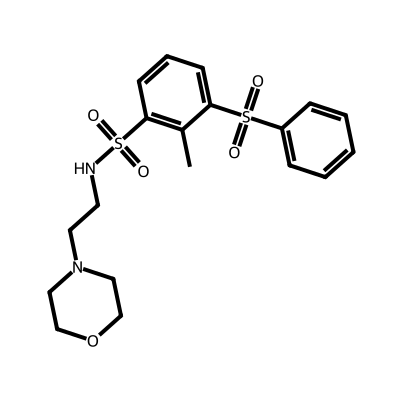 Cc1c(S(=O)(=O)NCCN2CCOCC2)cccc1S(=O)(=O)c1ccccc1